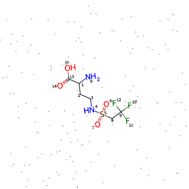 NC(CCNS(=O)(=O)CC(F)(F)F)C(=O)O